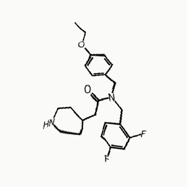 CCOc1ccc(CN(Cc2ccc(F)cc2F)C(=O)CC2CCNCC2)cc1